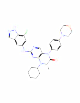 C[C@@H]1C(=O)N(c2ccc(N3CCOCC3)cc2)c2cnc(Nc3cc(F)c4[nH]ncc4c3)nc2N1C1CCCCC1